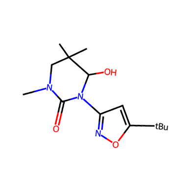 CN1CC(C)(C)C(O)N(c2cc(C(C)(C)C)on2)C1=O